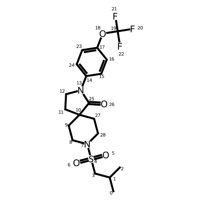 CC(C)CS(=O)(=O)N1CCC2(CCN(c3ccc(OC(F)(F)F)cc3)C2=O)CC1